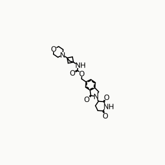 O=C1CCC(N2Cc3ccc(COC(=O)NC45CC(N6CCOCC6)(C4)C5)cc3C2=O)C(=O)N1